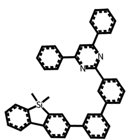 C[Si]1(C)c2ccccc2-c2ccc(-c3cccc(-c4cccc(-c5nc(-c6ccccc6)cc(-c6ccccc6)n5)c4)c3)cc21